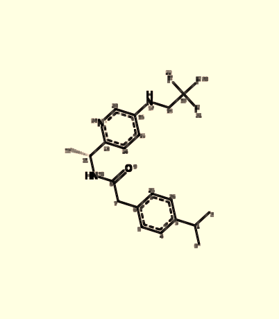 CC(C)c1ccc(CC(=O)N[C@H](C)c2ccc(NCC(F)(F)F)cn2)cc1